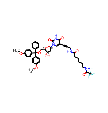 COc1ccc(C(OC[C@H]2O[C@@H](n3cc(C#CCNC(=O)CCCCCNC(=O)C(F)(F)F)c(=O)[nH]c3=O)C[C@H]2O)(c2ccccc2)c2ccc(OC)cc2)cc1